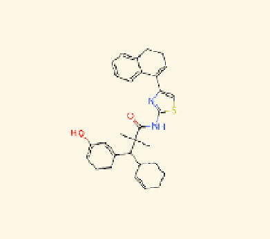 CC(C)(C(=O)Nc1nc(C2=CCCc3ccccc32)cs1)C(C1=CC(O)=CCC1)C1C=CCCC1